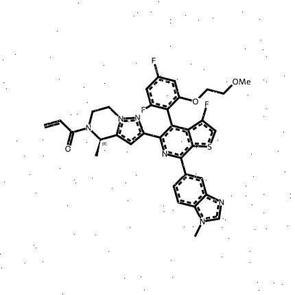 C=CC(=O)N1CCn2nc(-c3nc(-c4ccc5c(c4)ncn5C)c4scc(F)c4c3-c3c(F)cc(F)cc3OCCOC)cc2[C@H]1C